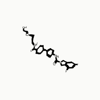 O=C(NCCOCCO)C1CCC(c2ccc(NC(=O)N3Cc4cc(F)cc(F)c4C3)cc2)CC1